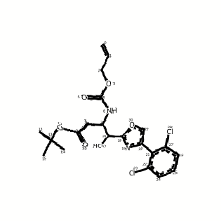 C=CCOC(=O)NC(CC(=O)OC(C)(C)C)C(O)c1nc(-c2c(Cl)cccc2Cl)co1